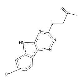 C=C(C)CSc1nnc2c(n1)[nH]c1cc(Br)ccc12